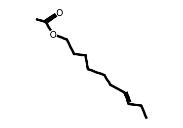 CC/C=C/CCCCCCOC(C)=O